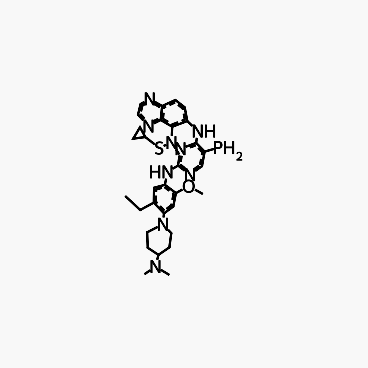 CCc1cc(Nc2ncc(P)c(Nc3ccc4nccnc4c3N(C)SC3CC3)n2)c(OC)cc1N1CCC(N(C)C)CC1